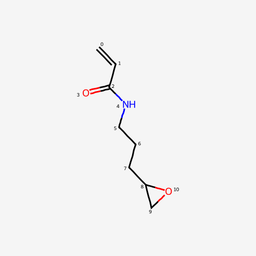 C=CC(=O)NCCCC1CO1